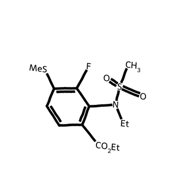 CCOC(=O)c1ccc(SC)c(F)c1N(CC)S(C)(=O)=O